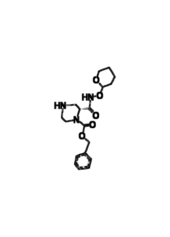 O=C(NOC1CCCCO1)[C@H]1CNCCN1C(=O)OCc1ccccc1